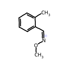 CO/N=C\c1ccccc1C